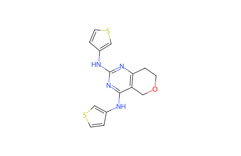 c1cc(Nc2nc3c(c(Nc4ccsc4)n2)COCC3)cs1